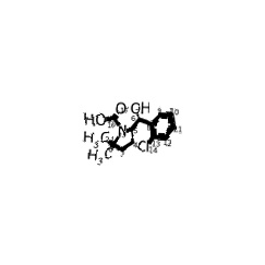 CC1(C)CC[C@H]([C@@H](O)c2ccccc2Cl)N1C(=O)O